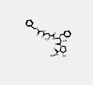 CC(C)(C)NC(=O)[C@@H]1[C@@H](O)CCN1C(=O)[C@@H](O)[C@H](Cc1ccccc1)NC(=O)[C@@H](N)CC(=O)NC(=O)OCc1ccccc1